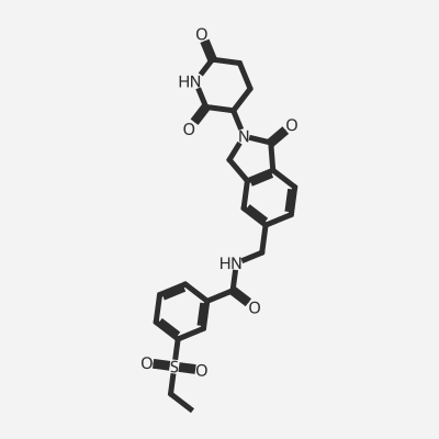 CCS(=O)(=O)c1cccc(C(=O)NCc2ccc3c(c2)CN(C2CCC(=O)NC2=O)C3=O)c1